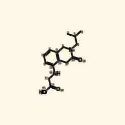 CC(C)CN1Cc2cccc(NCC(=O)O)c2CC1=O